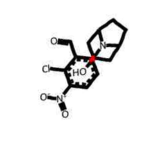 O=Cc1c(N2C3CCC2CC(O)C3)ccc([N+](=O)[O-])c1Cl